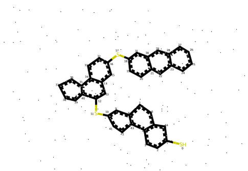 Sc1ccc2c(ccc3cc(Sc4cc5cc(Sc6ccc7cc8ccccc8cc7c6)ccc5c5ccccc45)ccc32)c1